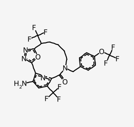 Nc1cc(C(F)(F)F)c2nc1-c1nnc(o1)C(C(F)(F)F)CCCCN(Cc1ccc(OC(F)(F)F)cc1)C2=O